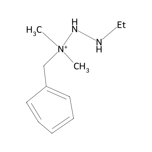 CCNN[N+](C)(C)Cc1ccccc1